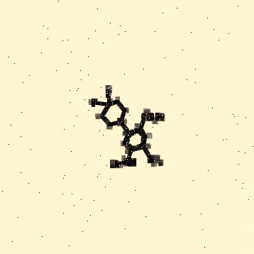 CCNc1cc(N2CCC(F)(F)CC2)c(C(=O)OCC)cc1N